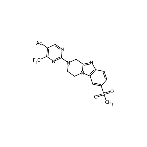 CC(=O)c1cnc(N2CCn3c(nc4ccc(S(C)(=O)=O)cc43)C2)nc1C(F)(F)F